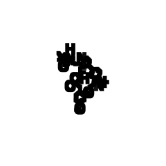 COc1ccc(CC(=O)O)c(OCc2nn(C)c3ccc(-c4ccnc(CN[S+]([O-])C(C)(C)C)c4F)cc23)c1